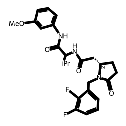 COc1cccc(NC(=O)C(NC(=O)C[C@@H]2CCC(=O)N2Cc2cccc(F)c2F)C(C)C)c1